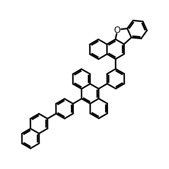 c1cc(-c2c3ccccc3c(-c3ccc(-c4ccc5ccccc5c4)cc3)c3ccccc23)cc(-c2cc3c4ccccc4oc3c3ccccc23)c1